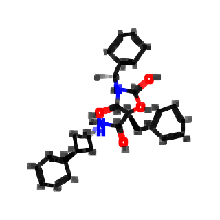 C[C@H](c1ccccc1)N1C(=O)O[C@](Cc2ccccc2)(C(=O)N[C@H]2C[C@H](c3ccccc3)C2)C1=O